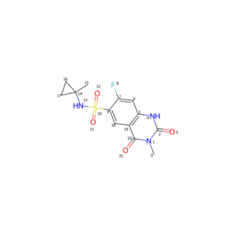 Cn1c(=O)[nH]c2cc(F)c(S(=O)(=O)NC3(C)CC3)cc2c1=O